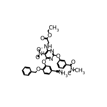 CCOC(=O)CNc1nc(Oc2cccc(C(=O)N(C)C)c2)nc(Oc2cc(C#N)ccc2OCc2ccccc2)c1[N+](=O)[O-]